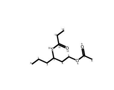 CCCC(CCOC(C)=O)SC(=O)CC